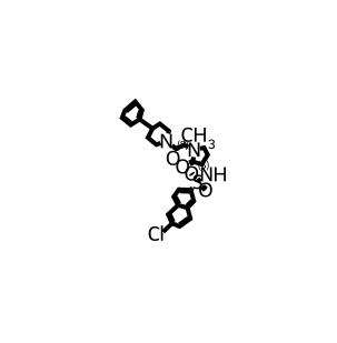 C[C@@H](C(=O)N1CCC(c2ccccc2)CC1)N1CC[C@H](NS(=O)(=O)c2ccc3cc(Cl)ccc3c2)C1=O